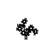 O=C(Nc1cncc(-c2ccc3[nH]nc(-c4nc5c(N6CCCCC6)cncc5[nH]4)c3c2)c1)c1ccccc1